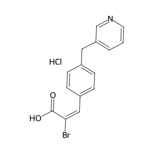 Cl.O=C(O)/C(Br)=C\c1ccc(Cc2cccnc2)cc1